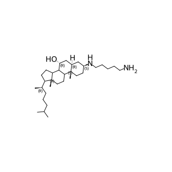 CC(C)CCC[C@@H](C)C1CCC2C3C(CC[C@@]21C)[C@@]1(C)CC[C@H](NCCCCCN)C[C@@H]1C[C@H]3O